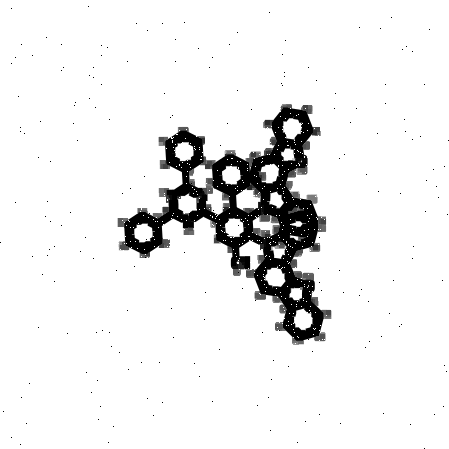 N#Cc1cc(-c2nc(-c3ccccc3)nc(-c3ccccc3)n2)c(-c2ccccc2)c(-n2c3ccccc3c3c4oc5ccccc5c4ccc32)c1-n1c2ccccc2c2c3oc4ccccc4c3ccc21